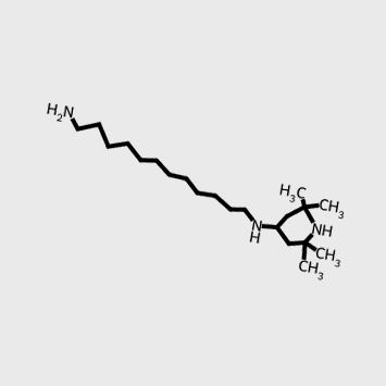 CC1(C)CC(NCCCCCCCCCCCCN)CC(C)(C)N1